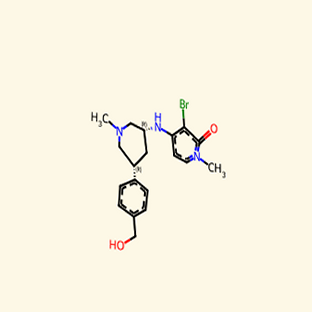 CN1C[C@H](Nc2ccn(C)c(=O)c2Br)C[C@H](c2ccc(CO)cc2)C1